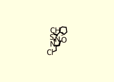 Cc1sc2nc(CCl)cc(=O)n2c1C1CCCCC1